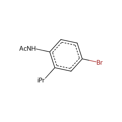 CC(=O)Nc1ccc(Br)cc1C(C)C